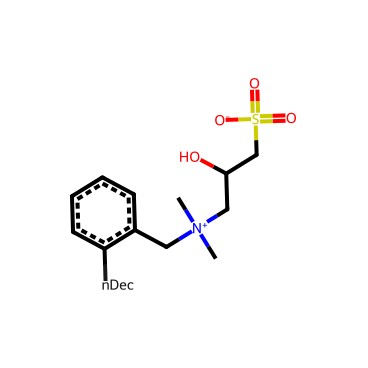 CCCCCCCCCCc1ccccc1C[N+](C)(C)CC(O)CS(=O)(=O)[O-]